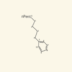 CCCCCCCCCc1[c][c][c]cc1